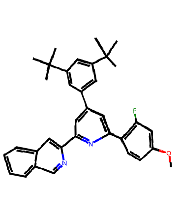 COc1ccc(-c2cc(-c3cc(C(C)(C)C)cc(C(C)(C)C)c3)cc(-c3cc4ccccc4cn3)n2)c(F)c1